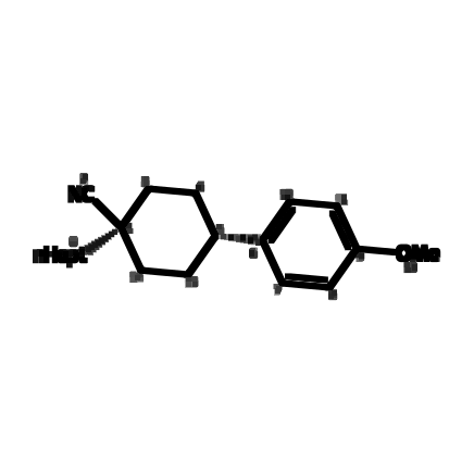 CCCCCCC[C@]1(C#N)CC[C@H](c2ccc(OC)cc2)CC1